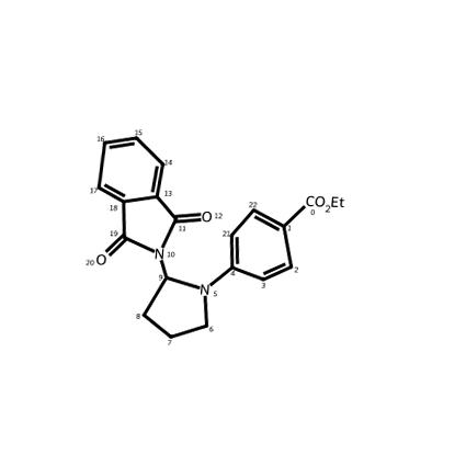 CCOC(=O)c1ccc(N2CCCC2N2C(=O)c3ccccc3C2=O)cc1